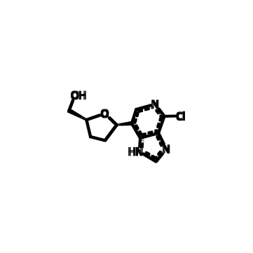 OC[C@@H]1CC[C@H](c2cnc(Cl)c3nc[nH]c23)O1